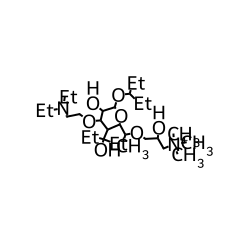 CCC(CC)OC1OC(C(C)OCC(O)C[N+](C)(C)C)C(C(O)(CC)CC)C(OCCN(CC)CC)C1O